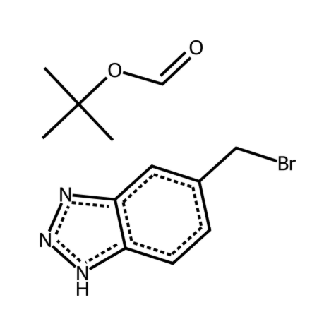 BrCc1ccc2[nH]nnc2c1.CC(C)(C)OC=O